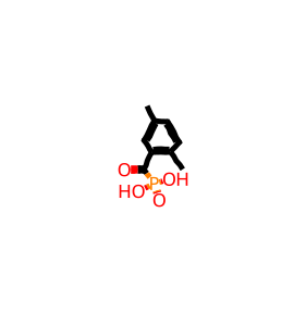 Cc1ccc(C)c(C(=O)P(=O)(O)O)c1